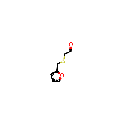 O=CCSCc1ccco1